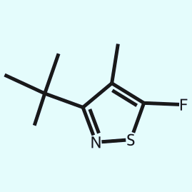 Cc1c(C(C)(C)C)nsc1F